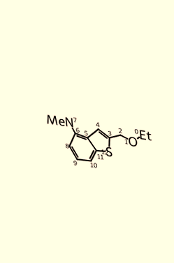 CCOCc1cc2c(NC)cccc2s1